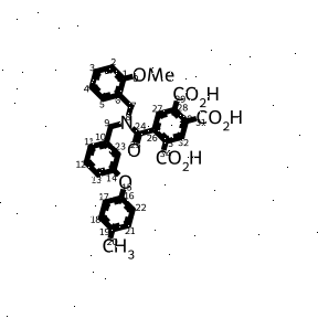 COc1ccccc1CN(Cc1cccc(Oc2ccc(C)cc2)c1)C(=O)c1cc(C(=O)O)c(C(=O)O)cc1C(=O)O